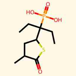 CCC(CC)(C1CC(C)C(=O)S1)P(=O)(O)O